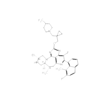 CC[C@@H]1CN2c3nc(OCC4(CN5CCC(C(F)(F)F)CC5)CC4)nc4c(F)c(-c5cccc6ccc(F)c(C)c56)nc(c34)C[C@H](C)[C@H]2CN1